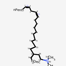 CCCCC/C=C\C/C=C\CCCCCCCCCC(CCCCCCCCCCC)CCN(C)C